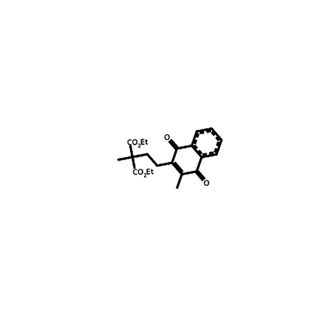 CCOC(=O)C(C)(CCC1=C(C)C(=O)c2ccccc2C1=O)C(=O)OCC